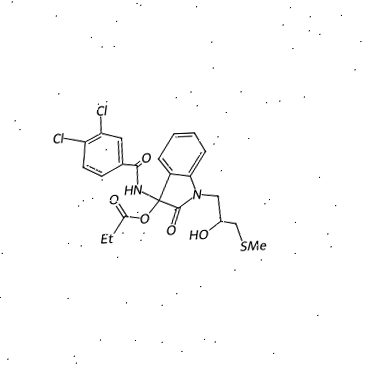 CCC(=O)OC1(NC(=O)c2ccc(Cl)c(Cl)c2)C(=O)N(CC(O)CSC)c2ccccc21